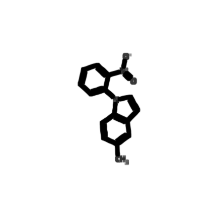 Cc1ccc2c(ccn2-c2ccccc2[N+](=O)[O-])c1